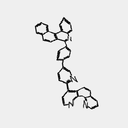 c1ccc2c(c1)ccc1c(-c3ccc(-c4ccc(-c5ccnc6c5ccc5cccnc56)nc4)cc3)nc3ccccc3c12